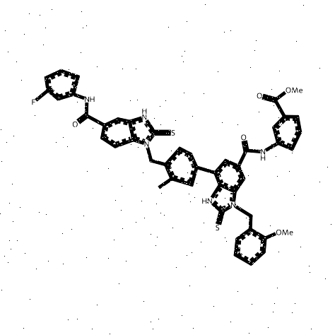 COC(=O)c1cccc(NC(=O)c2cc(-c3ccc(Cn4c(=S)[nH]c5cc(C(=O)Nc6cccc(F)c6)ccc54)c(C)c3)c3[nH]c(=S)n(Cc4ccccc4OC)c3c2)c1